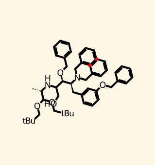 C[C@H](NC(CO)[C@@H](OCc1ccccc1)[C@H](Cc1cccc(OCc2ccccc2)c1)N(Cc1ccccc1)Cc1ccccc1)C(OCC(C)(C)C)OCC(C)(C)C